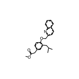 COC(=O)Cc1ccc(OCc2ccc3ccccc3n2)c(CC(C)C)c1